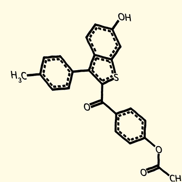 CC(=O)Oc1ccc(C(=O)c2sc3cc(O)ccc3c2-c2ccc(C)cc2)cc1